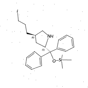 C[Si](C)(C)OC(c1ccccc1)(c1ccccc1)[C@@H]1C[C@@H](CCCI)CN1